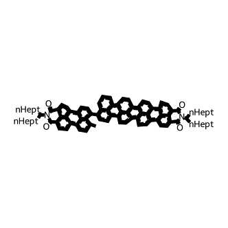 CCCCCCCC(CCCCCCC)N1C(=O)c2ccc3c4ccc(C)c5c(-c6ccc7c8ccc9c%10ccc%11c%12ccc%13c%14c(ccc(c%15ccc(c%16ccc(c%17cccc6c%177)c8c%169)c%10c%15%11)c%14%12)C(=O)N(C(CCCCCCC)CCCCCCC)C%13=O)ccc(c6ccc(c2c36)C1=O)c54